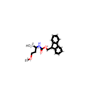 CCOCCC(NC(=O)OCC1c2ccccc2-c2ccccc21)C(=O)O